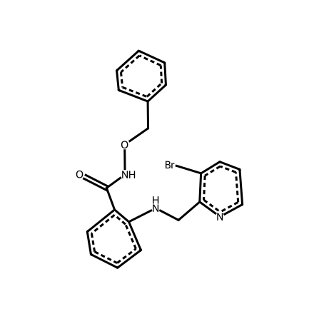 O=C(NOCc1ccccc1)c1ccccc1NCc1ncccc1Br